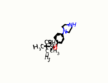 CC(C)(C)[Si](C)(C)Oc1ccc(N2CCNCC2)cc1